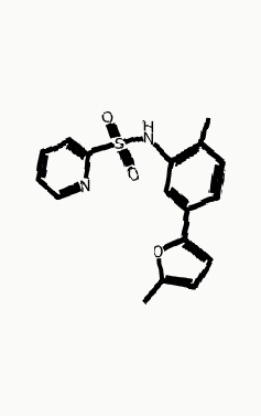 Cc1ccc(-c2ccc(C)c(NS(=O)(=O)c3ccccn3)c2)o1